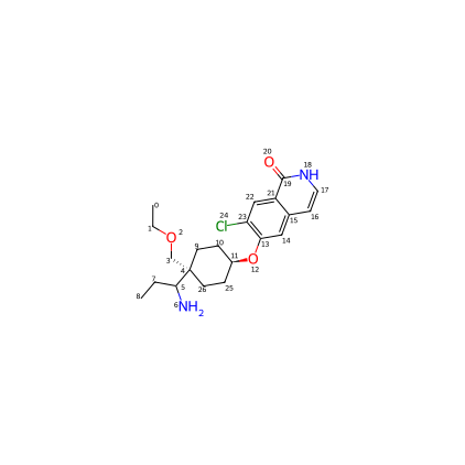 CCOC[C@]1(C(N)CC)CC[C@@H](Oc2cc3cc[nH]c(=O)c3cc2Cl)CC1